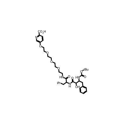 CC(C)CC(NC(=O)C(O)C(Cc1ccccc1)NC(=O)OC(C)(C)C)C(=O)NCCOCCOCCOCCOc1ccc(C(=O)O)nc1